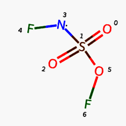 O=S(=O)([N]F)OF